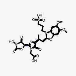 COc1cc2c(cc1OC)N(CCCS(=O)(=O)O)C(=C/C(C)=c1/s/c(=C3/SC(=S)N(O)C3=O)n(CC(=O)O)c1=O)O2